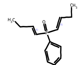 CC/C=C/P(=O)(/C=C/CC)c1ccccc1